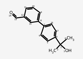 CC(C)(O)c1ccc(-c2cccc(C=O)c2)cc1